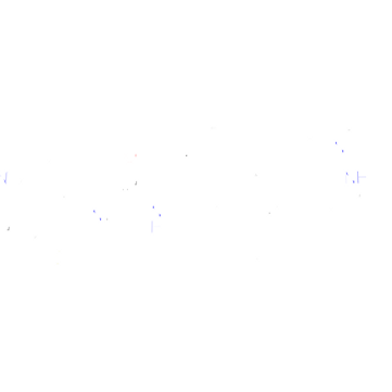 Cc1c(NC(=O)N2CSC3=C2CCNC3)cccc1-c1cccc2[nH]ncc12